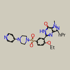 CCCc1nn(C)c2c(=O)[nH]c(-c3cc(S(=O)(=O)N4CCN(c5ccncc5)CC4)ccc3OCC)nc12